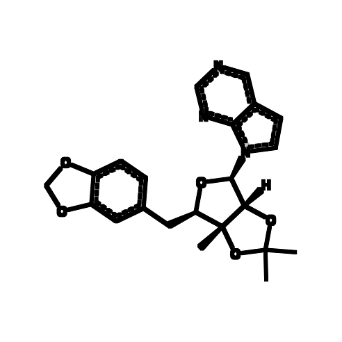 CC1(C)O[C@H]2[C@H](n3ccc4cncnc43)O[C@H](Cc3ccc4c(c3)OCO4)[C@@]2(C)O1